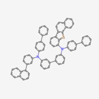 c1ccc(-c2ccc(N(c3cccc(-c4cccc(N(c5ccc(-c6ccccc6)cc5)c5cccc6c5sc5c7ccccc7ccc65)c4)c3)c3cccc(-c4cccc5ccccc45)c3)cc2)cc1